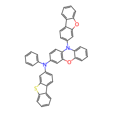 c1ccc(N(c2ccc3c(c2)Oc2ccccc2N3c2ccc3c(c2)oc2ccccc23)c2ccc3c(c2)sc2ccccc23)cc1